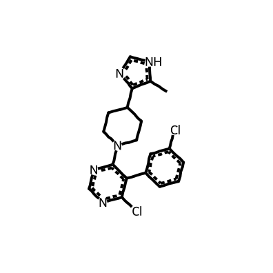 Cc1[nH]cnc1C1CCN(c2ncnc(Cl)c2-c2cccc(Cl)c2)CC1